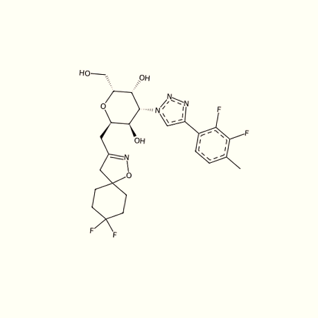 Cc1ccc(-c2cn([C@H]3[C@@H](O)[C@@H](CO)O[C@H](CC4=NOC5(CCC(F)(F)CC5)C4)[C@@H]3O)nn2)c(F)c1F